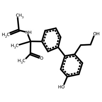 C=C(C)NC(C)(C(C)=O)c1cccc(-c2cc(O)ccc2CCO)c1